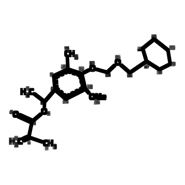 C=C(C)C(=O)OC(C)c1cc(C)c(OCOCC2CCCCC2)c(OC)c1